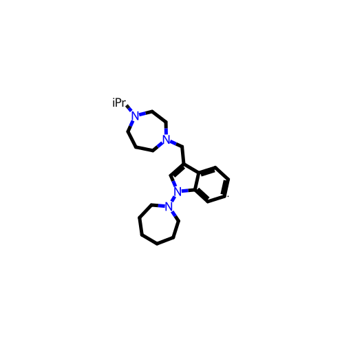 CC(C)N1CCCN(Cc2cn(N3CCCCCC3)c3c[c]ccc23)CC1